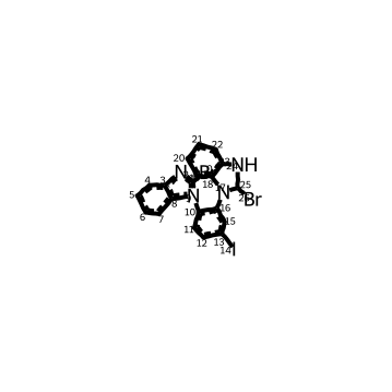 Brc1nc2ccccc2n1-c1ccc(I)cc1N1c2ccccc2NC1Br